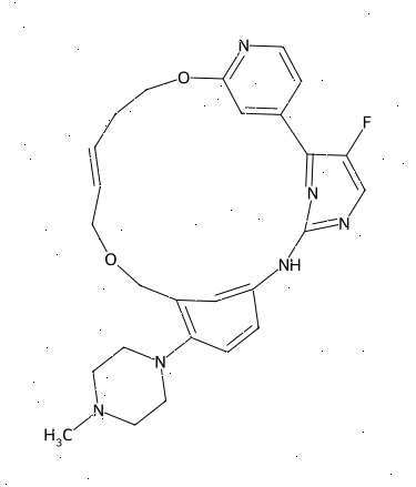 CN1CCN(c2ccc3cc2COC/C=C/CCOc2cc(ccn2)-c2nc(ncc2F)N3)CC1